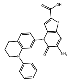 Nc1nc2sc(C(=O)O)cc2n(-c2ccc3c(c2)N(c2ccccc2)CCC3)c1=O